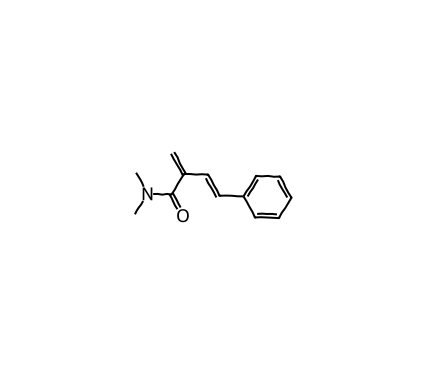 C=C(C=Cc1ccccc1)C(=O)N(C)C